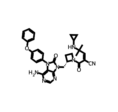 CC(C)(/C=C(/C#N)C(=O)N1CC[C@H]1Cn1c(=O)n(-c2ccc(Oc3ccccc3)cc2)c2c(N)ncnc21)NC1CC1